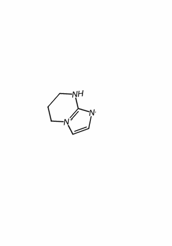 C1=C[N+]2=C([N]1)NCCC2